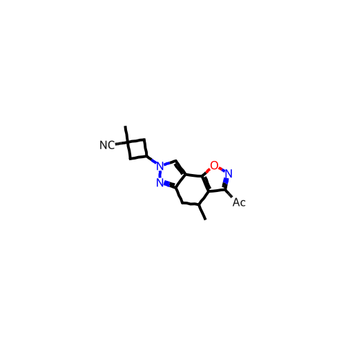 CC(=O)c1noc2c1C(C)Cc1nn(C3CC(C)(C#N)C3)cc1-2